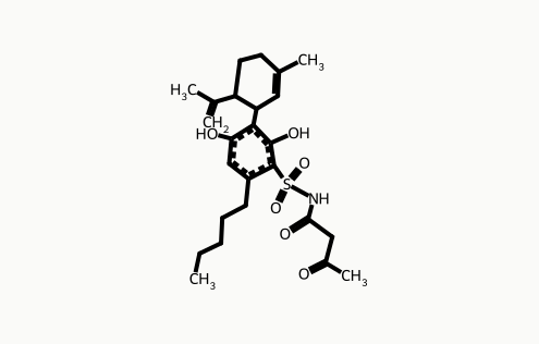 C=C(C)C1CCC(C)=CC1c1c(O)cc(CCCCC)c(S(=O)(=O)NC(=O)CC(C)=O)c1O